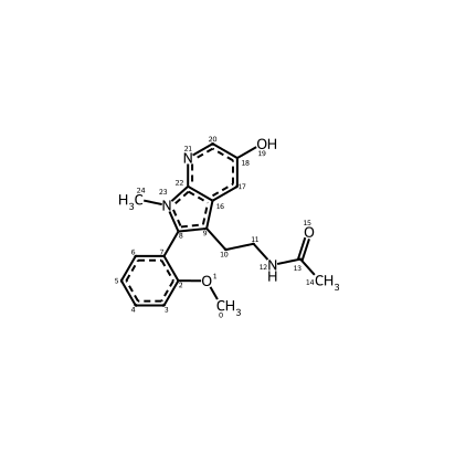 COc1ccccc1-c1c(CCNC(C)=O)c2cc(O)cnc2n1C